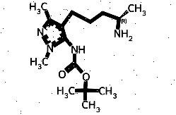 Cc1nn(C)c(NC(=O)OC(C)(C)C)c1CCC[C@@H](C)N